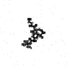 CC(C)(C)OC(=O)Nc1cc2c3c(c(C(=O)NCCO)[nH]c3c1)C=NNC2=O